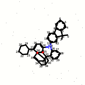 CC1(C)c2ccccc2-c2ccc(N(C3=CC=C(C4CCCCC4)CC3)c3ccccc3C34CC5=CC(CC(C5)C3)C4)cc21